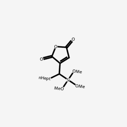 CCCCCCCC(C1=CC(=O)OC1=O)[Si](OC)(OC)OC